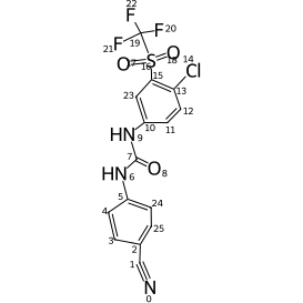 N#Cc1ccc(NC(=O)Nc2ccc(Cl)c(S(=O)(=O)C(F)(F)F)c2)cc1